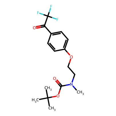 CN(CCOc1ccc(C(=O)C(F)(F)F)cc1)C(=O)OC(C)(C)C